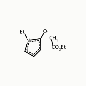 CCOC(C)=O.CCn1cccc1[O]